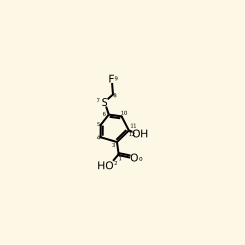 O=C(O)c1ccc(SCF)cc1O